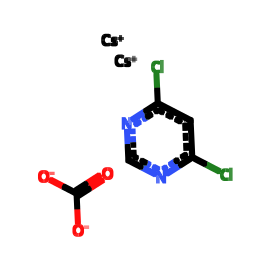 Clc1cc(Cl)ncn1.O=C([O-])[O-].[Cs+].[Cs+]